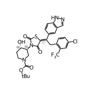 CC(C)(C)OC(=O)N1CC[C@H](O)[C@@H](N2C(=O)S/C(=C(/Cc3ccc(Cl)cc3C(F)(F)F)c3ccc4[nH]ncc4c3)C2=O)C1